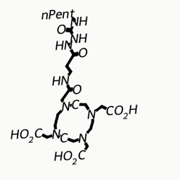 CCCCCNC(=O)NNC(=O)CCNC(=O)CN1CCN(CC(=O)O)CCN(CC(=O)O)CCN(CC(=O)O)CC1